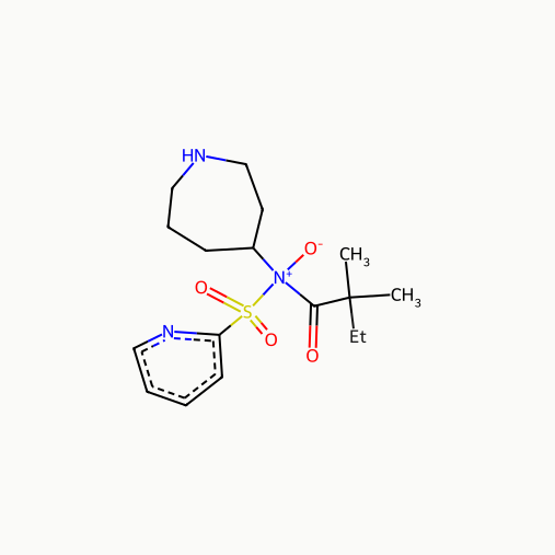 [CH2]CC(C)(C)C(=O)[N+]([O-])(C1CCCNCC1)S(=O)(=O)c1ccccn1